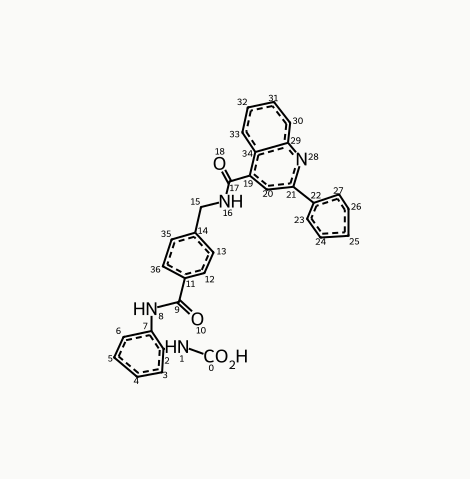 O=C(O)Nc1ccccc1NC(=O)c1ccc(CNC(=O)c2cc(-c3ccccc3)nc3ccccc23)cc1